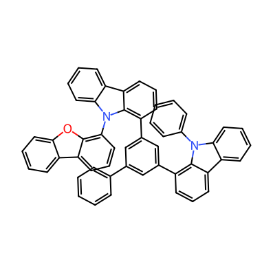 c1ccc(-c2cc(-c3cccc4c5ccccc5n(-c5ccccc5)c34)cc(-c3cccc4c5ccccc5n(-c5cccc6c5oc5ccccc56)c34)c2)cc1